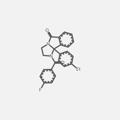 CCc1ccc(C23c4ccccc4C(=O)N2CCN3C(=O)c2ccc(F)cc2)cc1